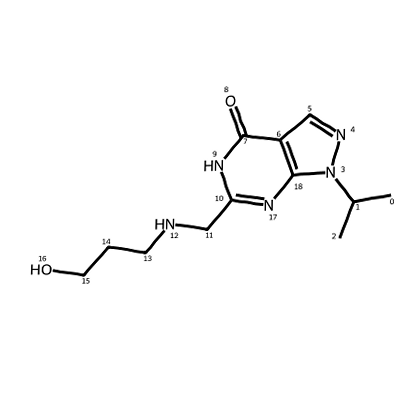 CC(C)n1ncc2c(=O)[nH]c(CNCCCO)nc21